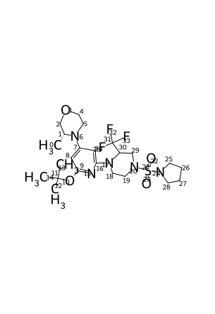 C[C@@H]1COCCN1c1cc(OC(C)(C)C)nc(N2CCN(S(=O)(=O)N3CCCC3)CC2C(F)(F)F)c1